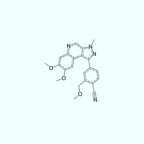 COCc1cc(-c2nn(C)c3cnc4cc(OC)c(OC)cc4c23)ccc1C#N